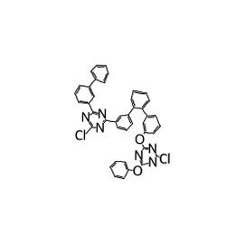 Clc1nc(Oc2ccccc2)nc(Oc2cccc(-c3ccccc3-c3cccc(-c4nc(Cl)nc(-c5cccc(-c6ccccc6)c5)n4)c3)c2)n1